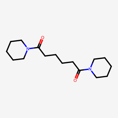 O=C(CCCCC(=O)N1CCCCC1)N1CCCCC1